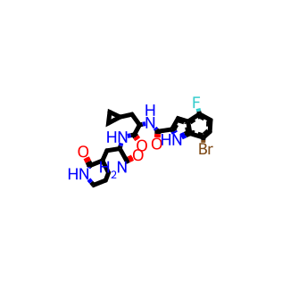 NC(=O)C(CC1CCCNC1=O)NC(=O)C(CC1CC1)NC(=O)c1cc2c(F)ccc(Br)c2[nH]1